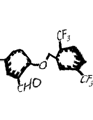 O=Cc1ccccc1OCc1cc(C(F)(F)F)ccc1C(F)(F)F